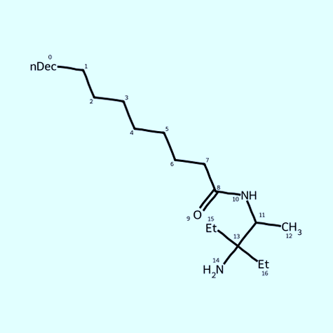 CCCCCCCCCCCCCCCCCC(=O)NC(C)C(N)(CC)CC